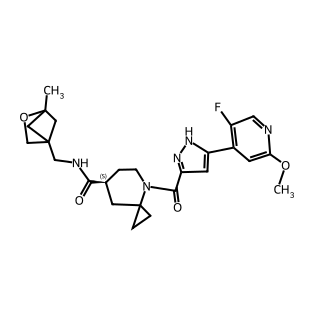 COc1cc(-c2cc(C(=O)N3CC[C@H](C(=O)NCC45COC(C)(C4)C5)CC34CC4)n[nH]2)c(F)cn1